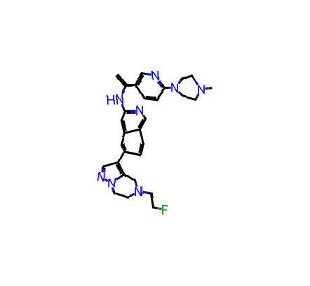 C=C(Nc1cc2cc(-c3cnn4c3CN(CCF)CC4)ccc2cn1)c1ccc(N2CCN(C)CC2)nc1